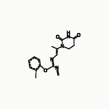 C=N/C(=N\C=C(/C)N1CCC(=O)NC1=O)Oc1ccccc1I